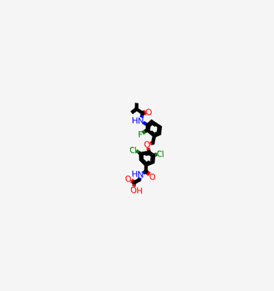 CC(C)C(=O)Nc1cccc(COc2c(Cl)cc(C(=O)NCC(=O)O)cc2Cl)c1F